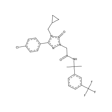 CC(C)(NC(=O)Cn1nc(-c2ccc(Cl)cc2)n(CC2CC2)c1=O)c1cccc(C(F)(F)F)c1